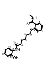 CNC(=O)c1ccccc1SCCCCCC(=O)Nc1ccccc1O